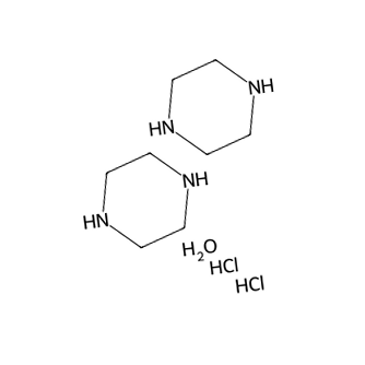 C1CNCCN1.C1CNCCN1.Cl.Cl.O